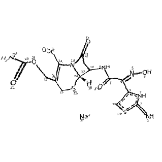 N=c1[nH]c(C(=NO)C(=O)NC2C(=O)N3C(C(=O)[O-])=C(COC(N)=O)CS[C@@H]23)cs1.[Na+]